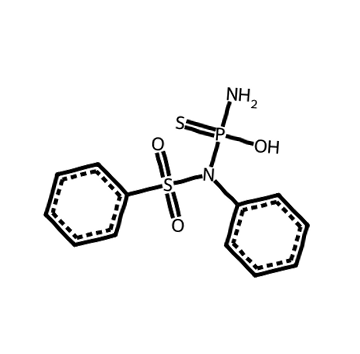 NP(O)(=S)N(c1ccccc1)S(=O)(=O)c1ccccc1